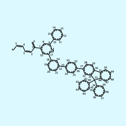 C=C(/C=C\C=C/C)c1cc(-c2ccccc2)nc(-c2cccc(-c3ccc(-c4ccc5c(c4)C(c4ccccc4)(c4ccccc4)c4ccccc4-5)cc3)c2)c1